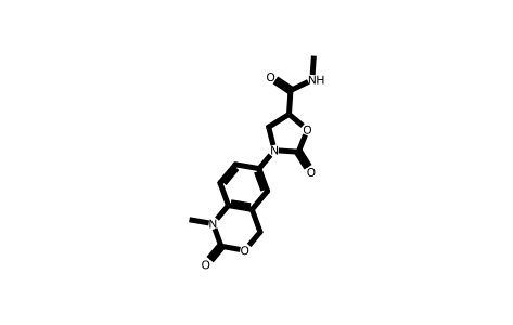 CNC(=O)C1CN(c2ccc3c(c2)COC(=O)N3C)C(=O)O1